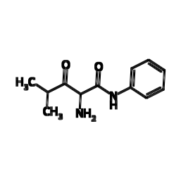 CC(C)C(=O)C(N)C(=O)Nc1ccccc1